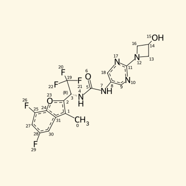 Cc1c([C@@H](NC(=O)Nc2cnc(N3CC(O)C3)nc2)C(F)(F)F)oc2c(F)cc(F)cc12